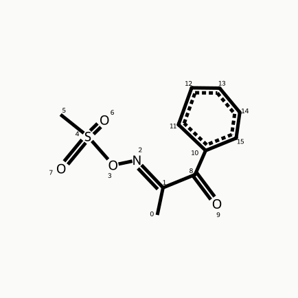 CC(=NOS(C)(=O)=O)C(=O)c1ccccc1